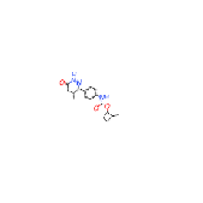 CC1CC(=O)NN=C1c1ccc(NC(=O)OC2CCC2C)cc1